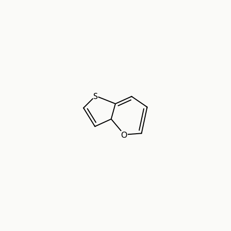 C1=COC2C=CSC2=C1